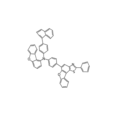 c1ccc(-c2nc3cc(-c4ccc(N(c5ccc(-c6cccc7ccccc67)cc5)c5cccc6oc7ccccc7c56)cc4)c4oc5ccccc5c4c3s2)cc1